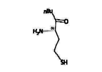 CCCCC(=O)[C@@H](N)CCS